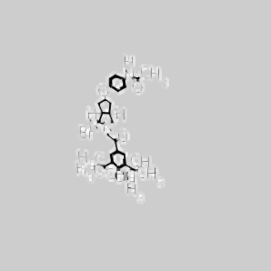 CC(=O)Nc1ccc(O[C@@H]2C[C@H]3CN(CC(=O)c4cc(C(C)(C)C)c(O)c(C(C)(C)C)c4)/C(=N\Br)[C@H]3C2)cc1